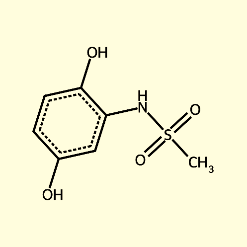 CS(=O)(=O)Nc1cc(O)ccc1O